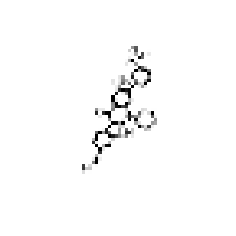 C#Cc1ccc2c(c1)[nH]c1c2c(=O)c2cc(CCCC)c(-c3cccc(S(=O)(=O)F)c3)cc2n1C1CCCCC1